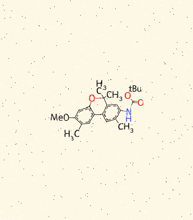 COc1cc2c(cc1C)-c1cc(C)c(NC(=O)OC(C)(C)C)cc1C(C)(C)O2